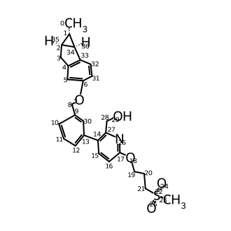 C[C@H]1[C@@H]2Cc3cc(OCc4cccc(-c5ccc(OCCCS(C)(=O)=O)nc5CO)c4)ccc3[C@H]12